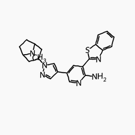 CN1C2CCC1CC(n1cc(-c3cnc(N)c(-c4nc5ccccc5s4)c3)cn1)C2